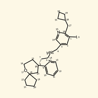 Ic1cc(CNCC[C@@]2(c3ccccn3)CCOC3(CCCC3)C2)cnc1CC1CCC1